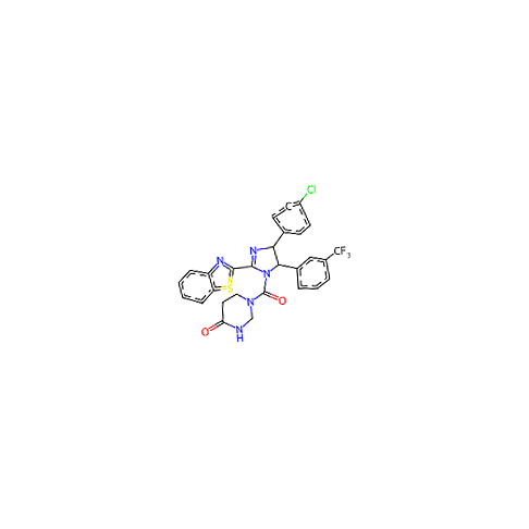 O=C1CCN(C(=O)N2C(c3nc4ccccc4s3)=NC(c3ccc(Cl)cc3)C2c2cccc(C(F)(F)F)c2)CN1